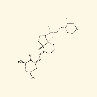 C=C1/C(=C\C=C2/CCC[C@]3(C)[C@@H]([C@H](C)CCN4CCOC[C@H]4C)CC[C@@H]23)C[C@@H](O)C[C@H]1O